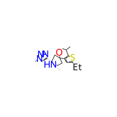 CCc1cc2c(s1)C(C)COC21C[C@@H](c2cn(C)nn2)N[C@@H](C)C1